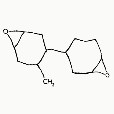 CC1CC2OC2C[C]1C1CCC2OC2C1